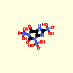 O=c1c2[nH]c([N+]([O-])(O)O)nc2n([N+]([O-])(O)O)c(=O)n1[N+]([O-])(O)O